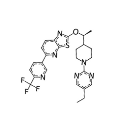 CCc1cnc(N2CCC([C@H](C)Oc3nc4ccc(-c5ccc(C(F)(F)F)nc5)nc4s3)CC2)nc1